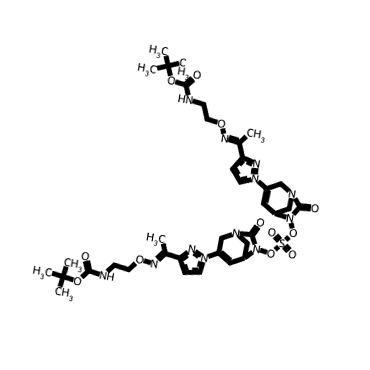 C/C(=N\OCCNC(=O)OC(C)(C)C)c1ccn(C2=CC3CN(C2)C(=O)N3OS(=O)(=O)ON2C(=O)N3CC(n4ccc(/C(C)=N/OCCNC(=O)OC(C)(C)C)n4)=CC2C3)n1